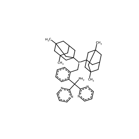 CC12CC3CC(C)(C1)CC(P(Cc1ccccc1C(P)(c1ncccn1)c1ncccn1)C14CC5CC(C)(CC(C)(C5)C1)C4)(C3)C2